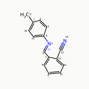 Cc1ccc(/N=C/c2ccccc2C#N)cc1